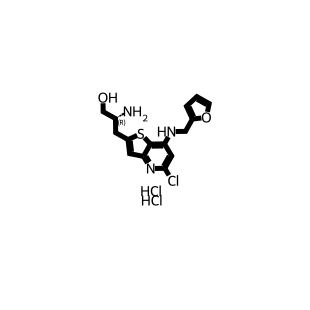 Cl.Cl.N[C@@H](CO)Cc1cc2nc(Cl)cc(NCc3ccco3)c2s1